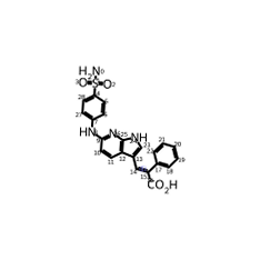 NS(=O)(=O)c1ccc(Nc2ccc3c(/C=C(/C(=O)O)c4ccccc4)c[nH]c3n2)cc1